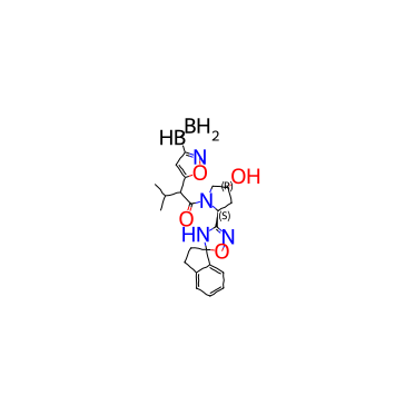 BBc1cc(C(C(=O)N2C[C@H](O)C[C@H]2C2=NOC3(CCc4ccccc43)N2)C(C)C)on1